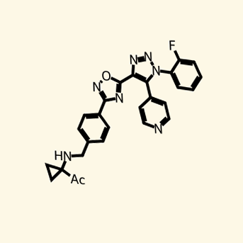 CC(=O)C1(NCc2ccc(-c3noc(-c4nnn(-c5ccccc5F)c4-c4ccncc4)n3)cc2)CC1